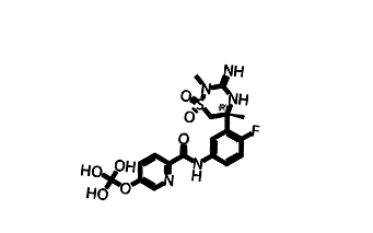 CN1C(=N)N[C@](C)(c2cc(NC(=O)c3ccc(OC(O)(O)O)cn3)ccc2F)CS1(=O)=O